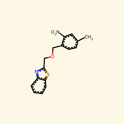 Cc1ccc(COCc2nc3ccccc3s2)c([N+](=O)[O-])c1